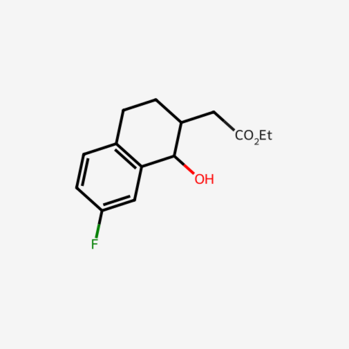 CCOC(=O)CC1CCc2ccc(F)cc2C1O